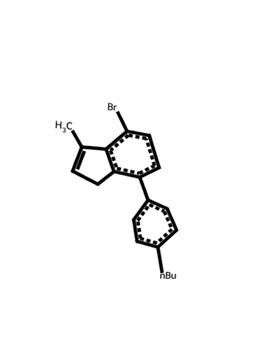 CCCCc1ccc(-c2ccc(Br)c3c2CC=C3C)cc1